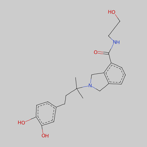 CC(C)(CCc1ccc(O)c(O)c1)N1Cc2cccc(C(=O)NCCO)c2C1